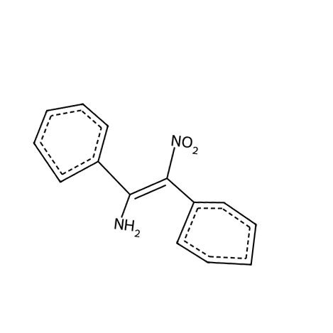 NC(=C(c1ccccc1)[N+](=O)[O-])c1ccccc1